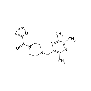 Cc1nc(C)c(CN2CCN(C(=O)c3ccco3)CC2)nc1C